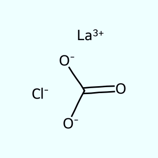 O=C([O-])[O-].[Cl-].[La+3]